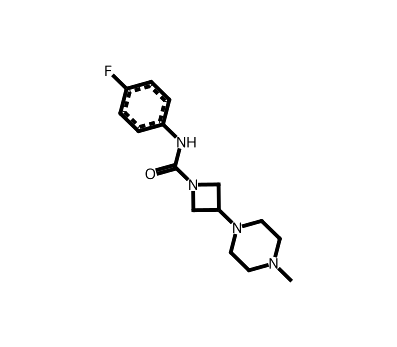 CN1CCN(C2CN(C(=O)Nc3ccc(F)cc3)C2)CC1